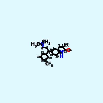 CCc1cc2cc(C(CCN(C)C)c3cccc(C(F)(F)F)c3)ccc2[nH]c1=O